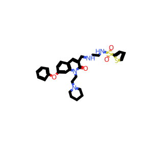 O=c1c(CNCCNS(=O)(=O)c2cccs2)cc2ccc(Oc3ccccc3)cc2n1CCN1CCCCC1